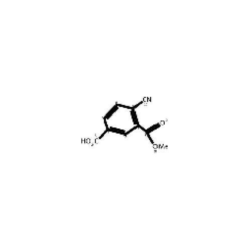 COC(=O)c1cc(C(=O)O)ccc1C#N